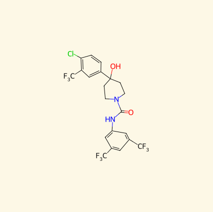 O=C(Nc1cc(C(F)(F)F)cc(C(F)(F)F)c1)N1CCC(O)(c2ccc(Cl)c(C(F)(F)F)c2)CC1